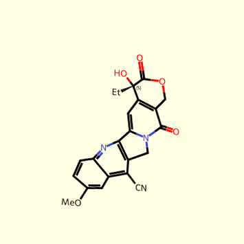 CC[C@@]1(O)C(=O)OCc2c1cc1n(c2=O)Cc2c-1nc1ccc(OC)cc1c2C#N